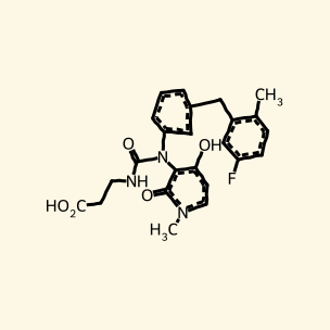 Cc1ccc(F)cc1Cc1cccc(N(C(=O)NCCC(=O)O)c2c(O)ccn(C)c2=O)c1